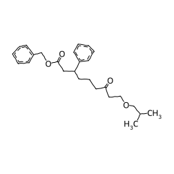 CC(C)COCCC(=O)CCCC(CC(=O)OCc1ccccc1)c1ccccc1